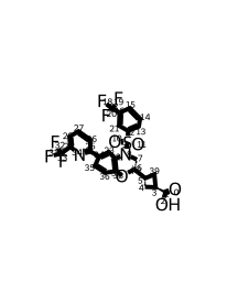 O=C(O)[C@H]1C[C@H]([C@H]2CN(S(=O)(=O)c3cccc(C(F)(F)F)c3)c3cc(-c4cccc(C(F)(F)F)n4)ccc3O2)C1